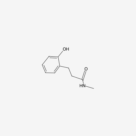 CNC(=O)CCc1ccccc1O